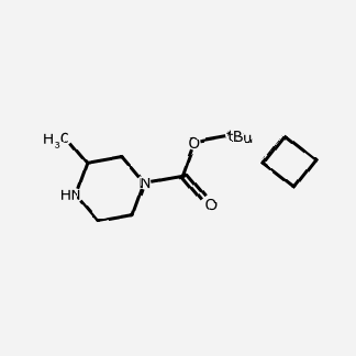 C1CCC1.CC1CN(C(=O)OC(C)(C)C)CCN1